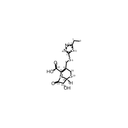 CCc1nnc(SCC2=C(C(=O)O)N3C(=O)[C@@H](O)[C@H]3SC2)s1